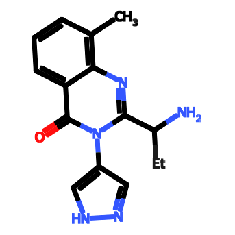 CCC(N)c1nc2c(C)cccc2c(=O)n1-c1cn[nH]c1